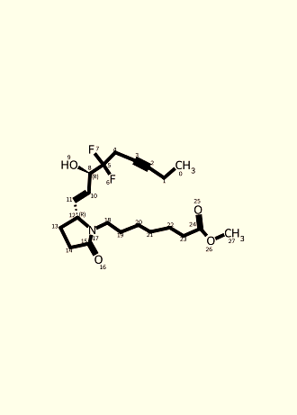 CCC#CCC(F)(F)[C@H](O)C=C[C@H]1CCC(=O)N1CCCCCCC(=O)OC